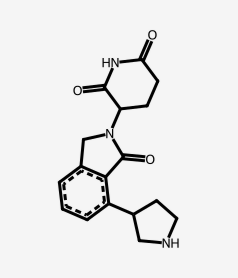 O=C1CCC(N2Cc3cccc(C4CCNC4)c3C2=O)C(=O)N1